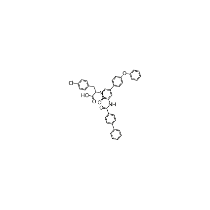 O=C(Nc1cc(-c2ccc(Oc3ccccc3)cc2)cn(C(Cc2ccc(Cl)cc2)C(=O)O)c1=O)c1ccc(-c2ccccc2)cc1